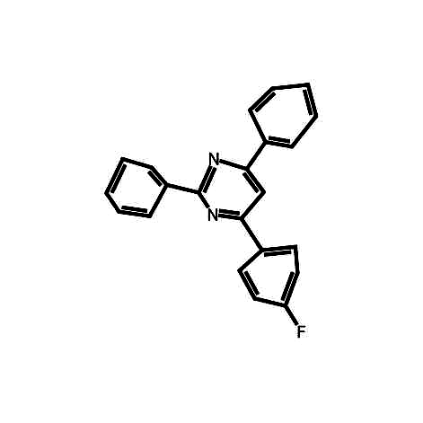 Fc1ccc(-c2cc(-c3ccccc3)nc(-c3ccccc3)n2)cc1